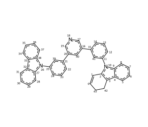 C1=Cc2c(c3ccccc3n2-c2cccc(-c3cncc(-c4cccc(-n5c6ccccc6c6ccccc65)c4)c3)c2)CC1